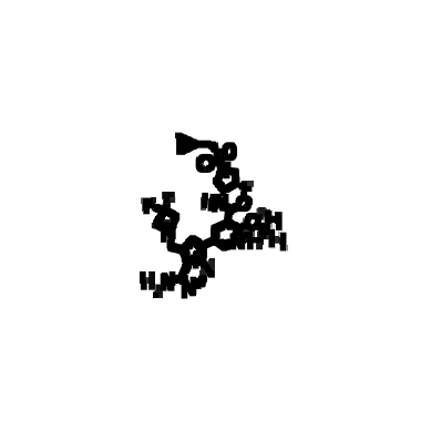 [2H]C([2H])([2H])Oc1ncc(-c2cc(CN3CC(F)(F)C3)c3c(N)ncnn23)cc1C(=O)N[C@@H]1CN(S(=O)(=O)CC2CC2)C[C@@H]1F